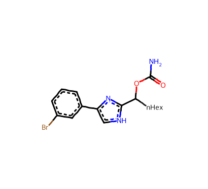 CCCCCCC(OC(N)=O)c1nc(-c2cccc(Br)c2)c[nH]1